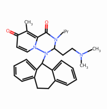 Cc1c2n(ccc1=O)N(C1c3ccccc3CCc3ccccc31)C(CCN(C)C)N(C(C)C)C2=O